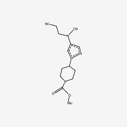 CC(C)(C)OC(=O)N1CCC(n2cc(N(C#N)CCC#N)cn2)CC1